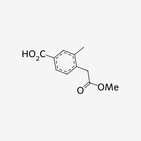 COC(=O)Cc1ccc(C(=O)O)cc1C